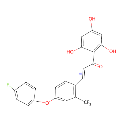 O=C(/C=C/c1ccc(Oc2ccc(F)cc2)cc1C(F)(F)F)c1c(O)cc(O)cc1O